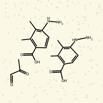 CC(=O)C=O.Cc1c(NN)ccc(C(=O)O)c1C.Cc1c(NN)ccc(C(=O)O)c1C